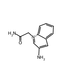 NC(=O)C[n+]1cc(N)cc2ccccc21